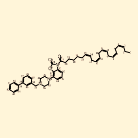 CC/C=C\C/C=C\C/C=C\C/C=C\C/C=C\CCCCCC(=O)n1c(=O)oc2c(N3CCN(Cc4cccc(-c5ccccc5)c4)CC3)cccc21